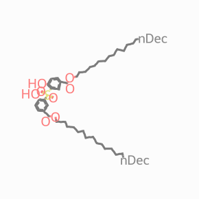 CCCCCCCCCCCCCCCCCCCCCCCCOC(=O)c1ccc(O)c(S(=O)(=O)c2cc(C(=O)OCCCCCCCCCCCCCCCCCCCCCCCC)ccc2O)c1